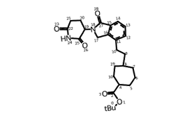 CC(C)(C)OC(=O)C1CCCC(CCc2cccc3c2CN(C2CCC(=O)NC2=O)C3=O)CC1